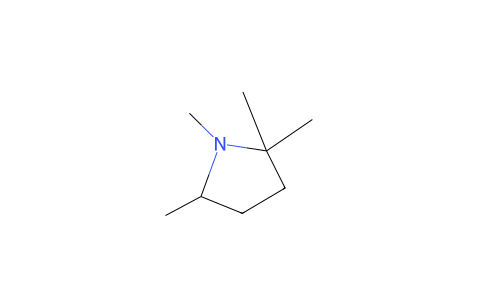 CC1CCC(C)(C)N1C